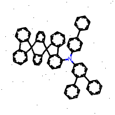 c1ccc(-c2ccc(N(c3ccc(-c4ccccc4)c(-c4ccccc4)c3)c3cccc4c3-c3ccccc3C43c4ccccc4C4(c5ccccc5-c5ccccc54)c4ccccc43)cc2)cc1